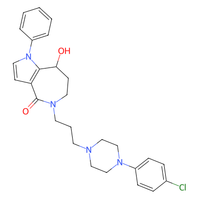 O=C1c2ccn(-c3ccccc3)c2C(O)CCN1CCCN1CCN(c2ccc(Cl)cc2)CC1